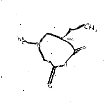 BN1CC(=O)OC(=O)[C@H](CC)C1